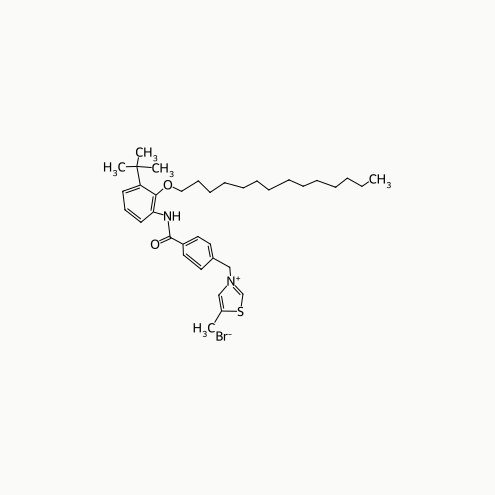 CCCCCCCCCCCCCCOc1c(NC(=O)c2ccc(C[n+]3csc(C)c3)cc2)cccc1C(C)(C)C.[Br-]